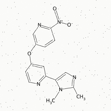 Cc1ncc(-c2cc(Oc3ccc([N+](=O)[O-])nc3)ccn2)n1C